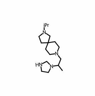 CC(C)N1CCC2(CCN(CC(C)N3CCNC3)CC2)C1